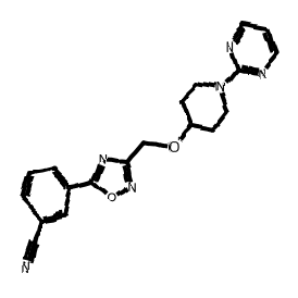 N#Cc1cccc(-c2nc(COC3CCN(c4ncccn4)CC3)no2)c1